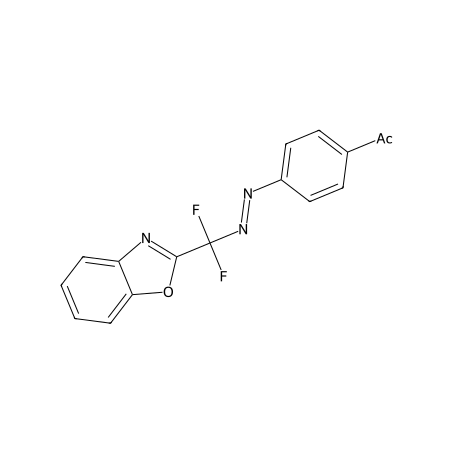 CC(=O)c1ccc(N=NC(F)(F)c2nc3ccccc3o2)cc1